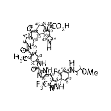 COCCNc1ccc(-c2[nH]nc(C(F)(F)F)c2Cc2cnc(C(=O)Nc3ccc(C(=O)N4CCN(C(=O)C5CC[N+](CC(=O)O)(CC6CNC6)CC5)CC4)c(C)c3)[nH]2)c(F)c1